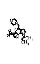 CCC(C)N1CCc2c(CN3CCOCC3)nc3c([N+](=O)[O-])cnn3c21